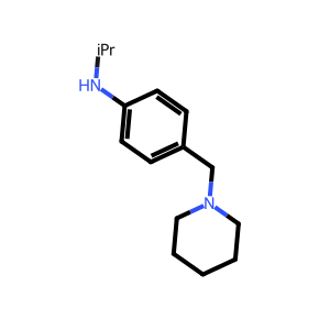 CC(C)Nc1ccc(CN2CCCCC2)cc1